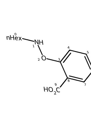 CCCCCCNOc1ccccc1C(=O)O